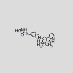 CC(C)(C)c1[nH]c2ncccc2c1CCN1Cc2ccc(/C=C/C(=O)NO)cc2C1